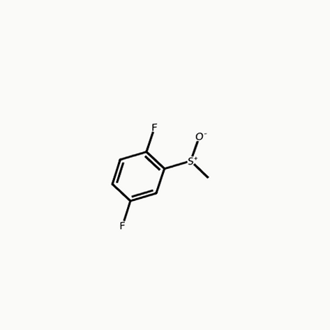 C[S+]([O-])c1cc(F)ccc1F